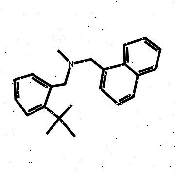 CN(Cc1ccccc1C(C)(C)C)Cc1cccc2ccccc12